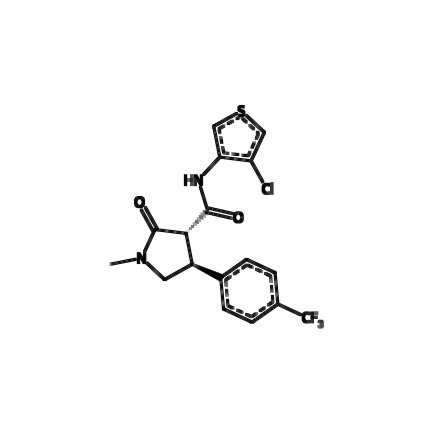 CN1C[C@H](c2ccc(C(F)(F)F)cc2)[C@@H](C(=O)Nc2cscc2Cl)C1=O